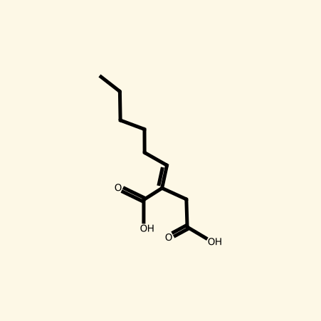 CCCCCC=C(CC(=O)O)C(=O)O